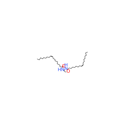 CCCCCCCC/C=C\CCCCCCCC(=O)NC(CC)NC(=O)CCCCCCC/C=C\CCCCCCCC